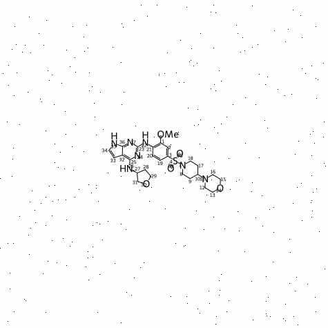 COc1cc(S(=O)(=O)N2CCC(N3CCOCC3)CC2)ccc1Nc1nc(N[C@H]2CCOC2)c2cc[nH]c2n1